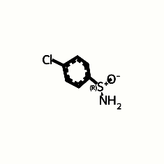 N[S@@+]([O-])c1ccc(Cl)cc1